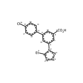 CCc1nnnn1-c1cc(C(=O)O)cc(-c2ccc(Cl)cc2)c1